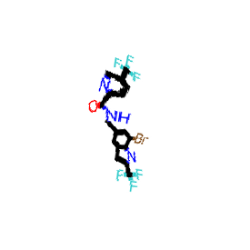 O=C(NCC1=CC(Br)C2=NC(C(F)(F)F)=CC2=C1)c1ccc(C(F)(F)F)cn1